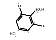 Cl.O=S(=O)(O)c1c(Cl)cccc1Cl